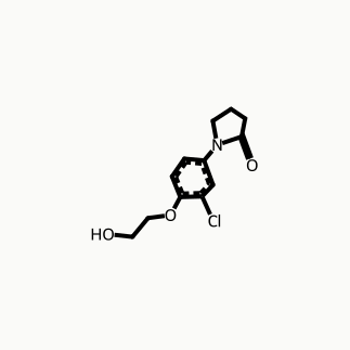 O=C1CCCN1c1ccc(OCCO)c(Cl)c1